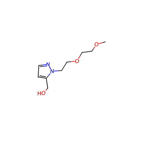 COCCOCCn1nccc1CO